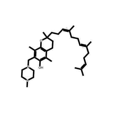 CC(C)=CCC/C(C)=C/CC/C(C)=C\CCC1(C)CCc2c(C)c(O)c(CN3CCN(C)CC3)c(C)c2O1